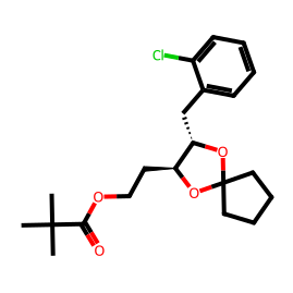 CC(C)(C)C(=O)OCC[C@@H]1OC2(CCCC2)O[C@H]1Cc1ccccc1Cl